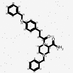 NC(=O)C1CN(Cc2ccccc2)CCN1C(=O)[CH]Cc1ccc(OCc2ccccc2)cc1